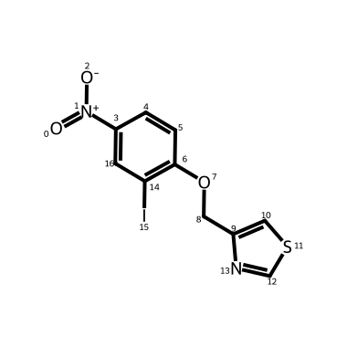 O=[N+]([O-])c1ccc(OCc2cscn2)c(I)c1